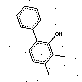 Cc1ccc(-c2ccccc2)c(O)c1C